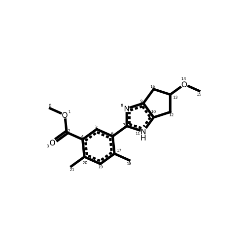 COC(=O)c1cc(-c2nc3c([nH]2)CC(OC)C3)c(C)cc1C